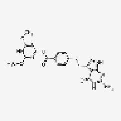 COC1=NC(OC(=O)c2ccc(CCc3c[nH]c4nc(N)[nH]c(=O)c34)cc2)=NC(OC)N1